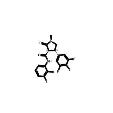 Cc1c(F)cccc1NC(=O)[C@H]1C(=O)N(C)C[C@@H]1c1cc(F)c(F)c(F)c1